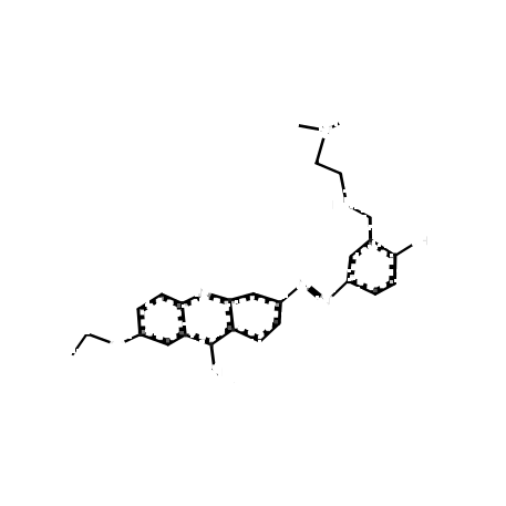 CCOc1ccc2nc3cc(/N=N/c4ccc(O)c(CNCCN(C)C)c4)ccc3c(N)c2c1